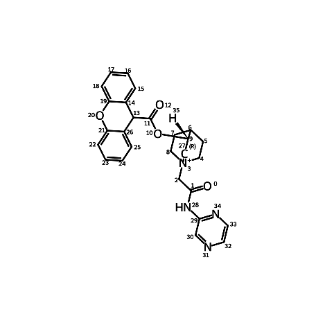 O=C(C[N+]12CCC(CC1)[C@@H](OC(=O)C1c3ccccc3Oc3ccccc31)C2)Nc1cnccn1